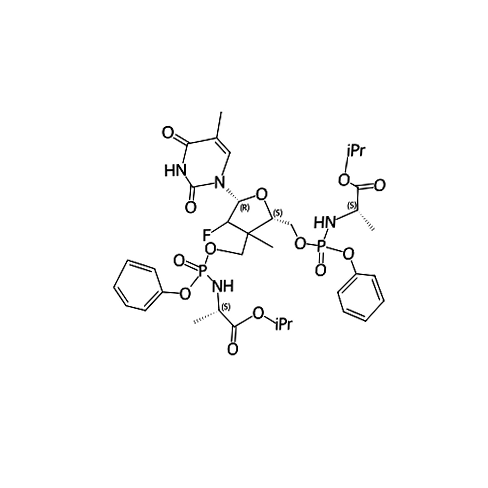 Cc1cn([C@@H]2O[C@H](COP(=O)(N[C@@H](C)C(=O)OC(C)C)Oc3ccccc3)C(C)(COP(=O)(N[C@@H](C)C(=O)OC(C)C)Oc3ccccc3)C2F)c(=O)[nH]c1=O